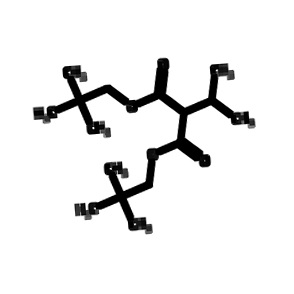 CC(C)C(C(=O)OCC(C)(C)C)C(=O)OCC(C)(C)C